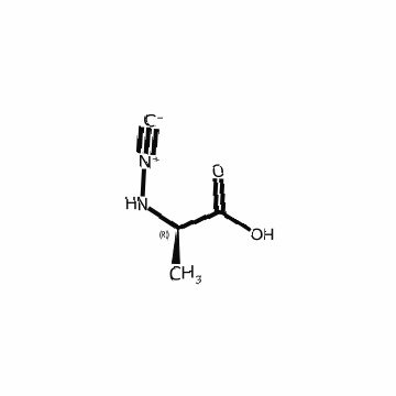 [C-]#[N+]N[C@H](C)C(=O)O